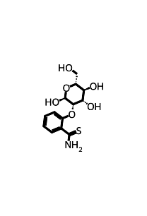 NC(=S)c1ccccc1O[C@H]1[C@@H](O)[C@H](O)[C@@H](CO)O[C@@H]1O